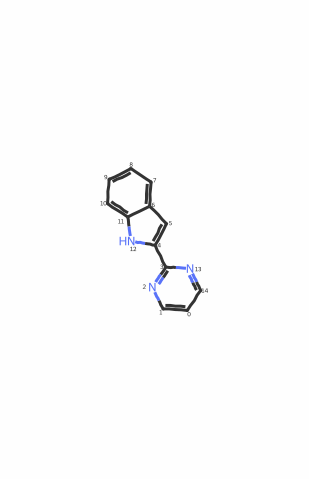 c1cnc(-c2cc3ccccc3[nH]2)nc1